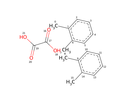 Cc1ccccc1C.Cc1ccccc1C.O=C(O)C(=O)O